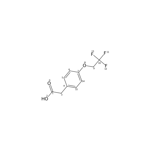 O=C(O)Cc1ccc(OCC(F)(F)F)cc1